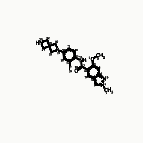 COc1cc2nn(C)cc2cc1C(=O)Nc1ccc(N2CC3(CNC3)C2)cc1F